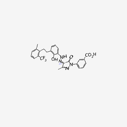 CC1=NN(c2cccc(C(=O)O)c2)C(=O)/C1=N\Nc1cccc(CCc2c(C)cccc2C(F)(F)F)c1O